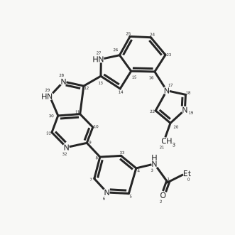 CCC(=O)Nc1cncc(-c2cc3c(-c4cc5c(-n6cnc(C)c6)cccc5[nH]4)n[nH]c3cn2)c1